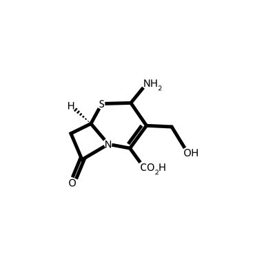 NC1S[C@@H]2CC(=O)N2C(C(=O)O)=C1CO